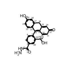 NNC(=O)c1ccc(C2=C3C=CC(=O)C=C3Cc3cc(O)ccc32)c(C(=O)O)c1